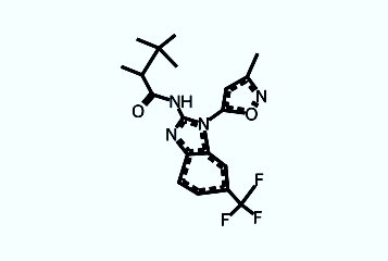 Cc1cc(-n2c(NC(=O)C(C)C(C)(C)C)nc3ccc(C(F)(F)F)cc32)on1